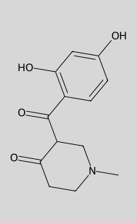 CN1CCC(=O)C(C(=O)c2ccc(O)cc2O)C1